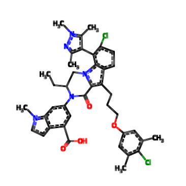 CCC1Cn2c(c(CCCOc3cc(C)c(Cl)c(C)c3)c3ccc(Cl)c(-c4c(C)nn(C)c4C)c32)C(=O)N1c1cc(C(=O)O)c2ccn(C)c2c1